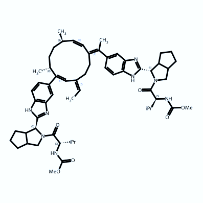 C/C=C1\C=C(\c2ccc3[nH]c([C@@H]4C5CCCC5CN4C(=O)[C@@H](NC(=O)OC)C(C)C)nc3c2)[C@H](C)CC[C@@H](C)/C=C\C(=C(/C)c2ccc3[nH]c([C@@H]4C5CCCC5CN4C(=O)[C@@H](NC(=O)OC)C(C)C)nc3c2)CC1